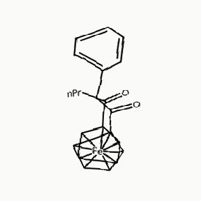 CCCC(=O)[C]12[CH]3[CH]4[CH]5[CH]1[Fe]45321678[CH]2[CH]1[CH]6[C]7(C(=O)Cc1ccccc1)[CH]28